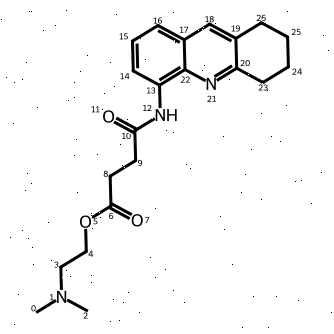 CN(C)CCOC(=O)CCC(=O)Nc1cccc2cc3c(nc12)CCCC3